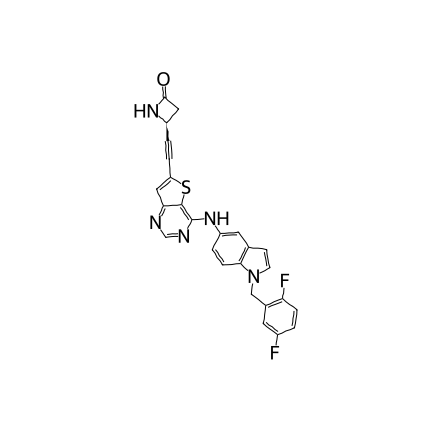 O=C1C[C@@H](C#Cc2cc3ncnc(Nc4ccc5c(ccn5Cc5cc(F)ccc5F)c4)c3s2)N1